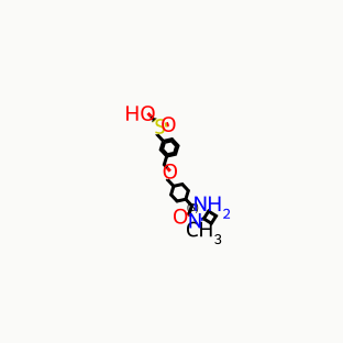 CN(C(=O)[C@@H](N)C1CCC(COCc2cccc(CS(=O)#CO)c2)CC1)C1CCC1